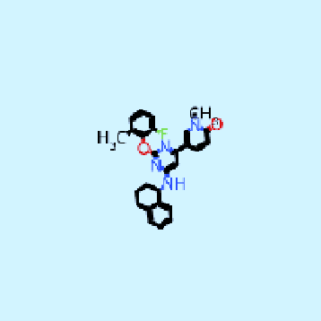 Cc1cccc(F)c1Oc1nc(N[C@@H]2CCCc3ccccc32)cc(-c2ccc(=O)n(C)c2)n1